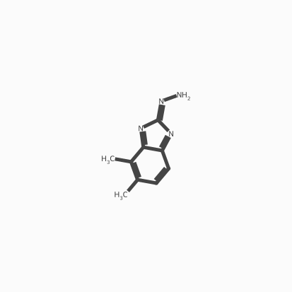 Cc1ccc2c(c1C)=NC(=NN)N=2